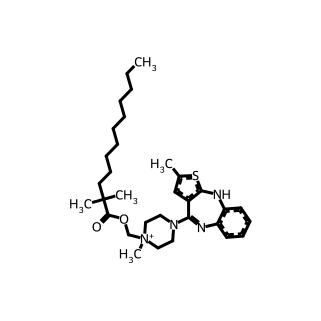 CCCCCCCCCCC(C)(C)C(=O)OC[N+]1(C)CCN(C2=Nc3ccccc3Nc3sc(C)cc32)CC1